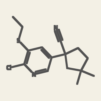 CCSc1cc(C2(C#N)CCC(C)(C)C2)cnc1Cl